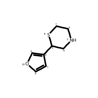 c1cc(C2CNCCS2)co1